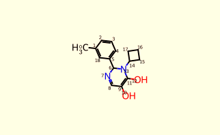 Cc1cccc(C2N=CC(O)=C(O)N2C2CCC2)c1